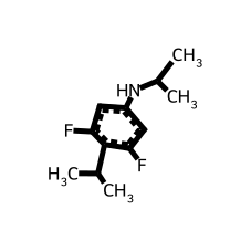 CC(C)Nc1cc(F)c(C(C)C)c(F)c1